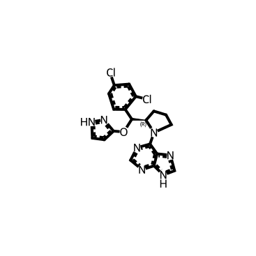 Clc1ccc(C(Oc2cc[nH]n2)[C@H]2CCCN2c2ncnc3[nH]cnc23)c(Cl)c1